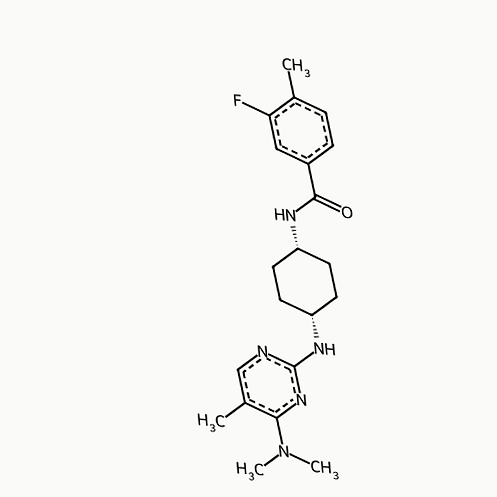 Cc1ccc(C(=O)N[C@H]2CC[C@@H](Nc3ncc(C)c(N(C)C)n3)CC2)cc1F